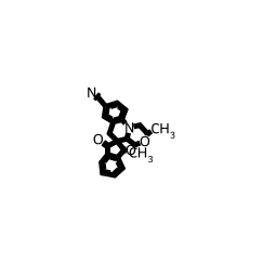 CC1CN2c3ccc(C#N)cc3CC3(C(=O)c4ccccc4C3=O)C2C(C)O1